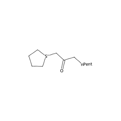 CCCCCCC(=O)C[S+]1CCCC1